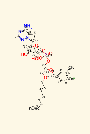 CCCCCCCCCCCCCCCCOC[C@H](COP(=O)(O)O[C@H]1O[C@@](C#N)(c2ccc3c(N)ncnn23)[C@H](O)[C@@H]1O)OCc1ccc(F)c(C#N)c1